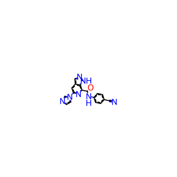 N#Cc1ccc(NC(=O)c2nc(-n3ccnc3)cc3cn[nH]c23)cc1